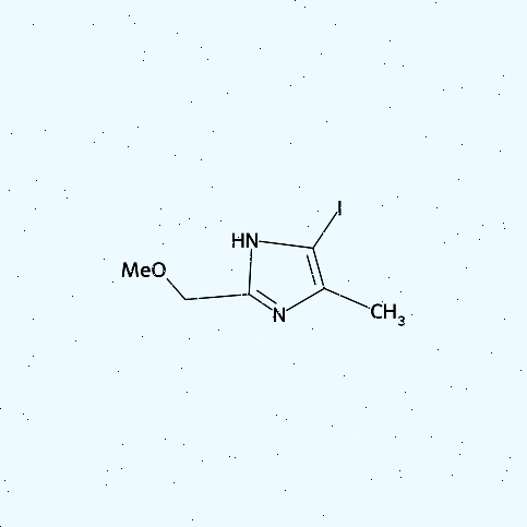 COCc1nc(C)c(I)[nH]1